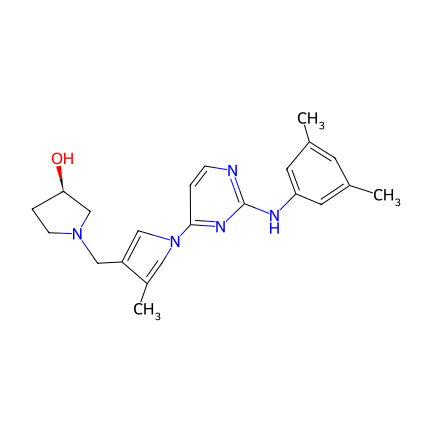 Cc1cc(C)cc(Nc2nccc(-n3cc(C)c(CN4CC[C@@H](O)C4)c3)n2)c1